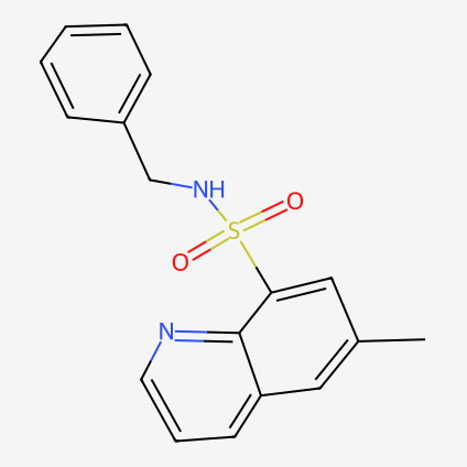 Cc1cc(S(=O)(=O)NCc2ccccc2)c2ncccc2c1